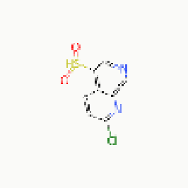 O=[SH](=O)c1cncc2nc(Cl)ccc12